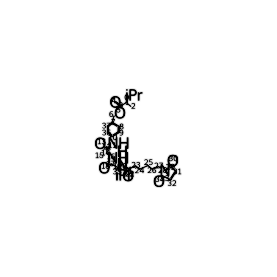 CC(C)C(C)C(=O)OCc1ccc(NC(=O)[C@@H](C)NC(=O)[C@H](NC(=O)CCCCCN2C(=O)C=CC2=O)C(C)C)cc1